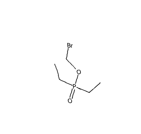 CCP(=O)(CC)OCBr